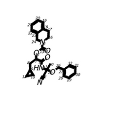 CC(C#N)(NC(=O)C(CC1CC1)OC(=O)N1CCc2ccccc2C1)OCc1ccccc1